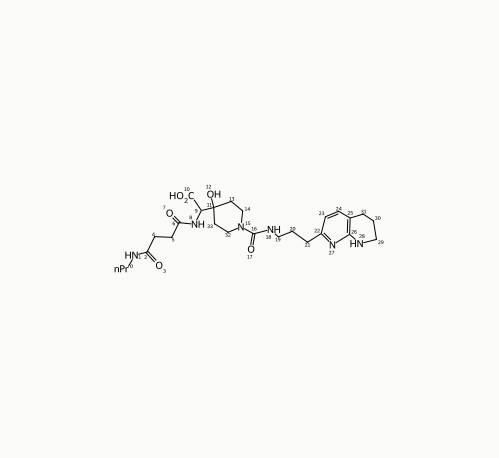 CCCNC(=O)CCC(=O)NC(C(=O)O)C1(O)CCN(C(=O)NCCCc2ccc3c(n2)NCCC3)CC1